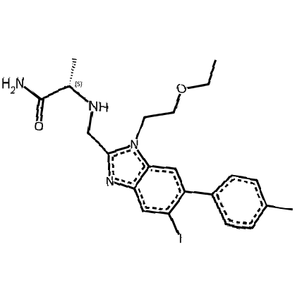 CCOCCn1c(CN[C@@H](C)C(N)=O)nc2cc(I)c(-c3ccc(C)cc3)cc21